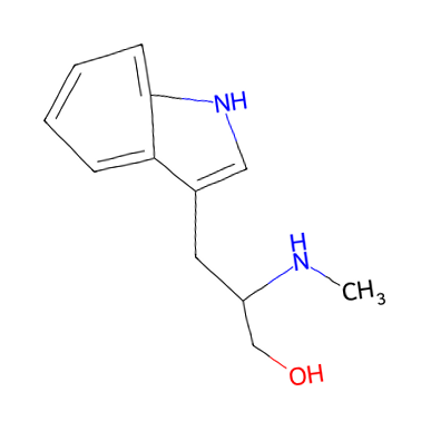 CNC(CO)Cc1c[nH]c2ccccc12